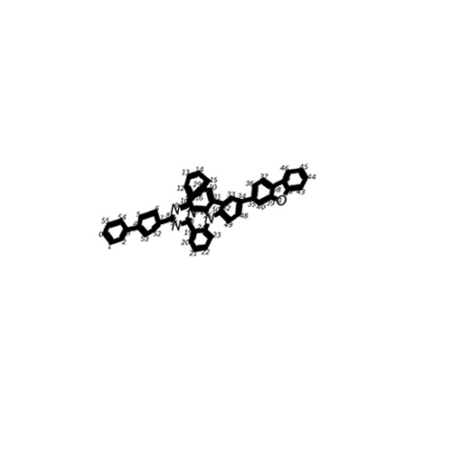 c1ccc(-c2ccc(-c3nc(-c4ccccc4)nc(-c4ccccc4-n4c5ccccc5c5cc(-c6ccc7c(c6)oc6ccccc67)ccc54)n3)cc2)cc1